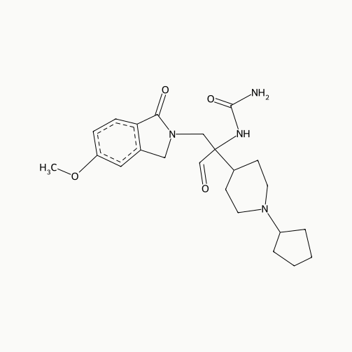 COc1ccc2c(c1)CN(CC(C=O)(NC(N)=O)C1CCN(C3CCCC3)CC1)C2=O